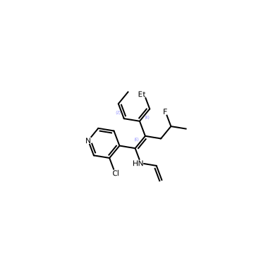 C=CN/C(=C(CC(C)F)/C(/C=C\C)=C/CC)c1ccncc1Cl